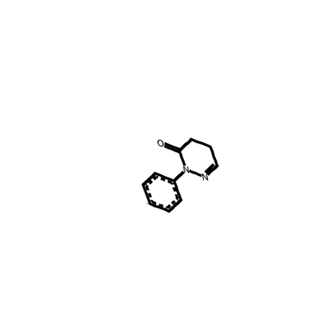 O=C1CCC=NN1c1cc[c]cc1